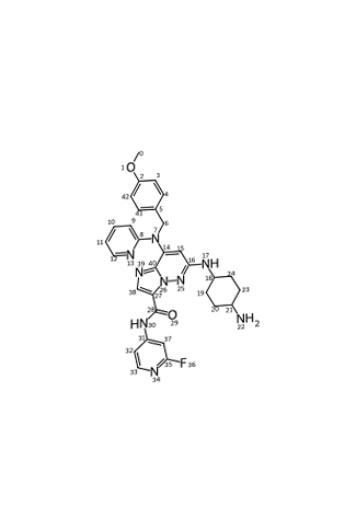 COc1ccc(CN(c2ccccn2)c2cc(NC3CCC(N)CC3)nn3c(C(=O)Nc4ccnc(F)c4)cnc23)cc1